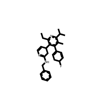 CCc1nc(C(C)C)c(C)c(C2=CCC(F)C=C2)c1C1C=CN=C(NCc2ccccc2)C1